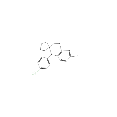 Cc1ccc2c(c1)CCC1(CCCC1)C2c1ccc(Br)cc1